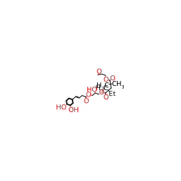 CCC(C)(CC(C)(C)C(=O)OCC1CO1)C(=O)OCC(O)COC(=O)C/C=C/c1ccc(O)c(O)c1